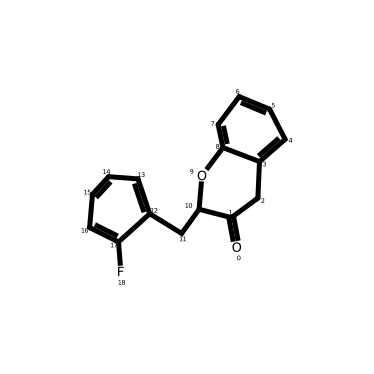 O=C1Cc2ccccc2OC1Cc1ccccc1F